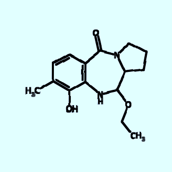 CCOC1Nc2c(ccc(C)c2O)C(=O)N2CCCC12